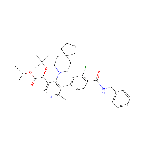 Cc1nc(C)c([C@H](OC(C)(C)C)C(=O)OC(C)C)c(N2CCC3(CCCC3)CC2)c1-c1ccc(C(=O)NCc2ccccc2)c(F)c1